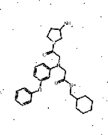 NC1CCN(C(=O)CN(CC(=O)NCC2CCCCC2)c2cccc(Oc3ccccc3)c2)C1